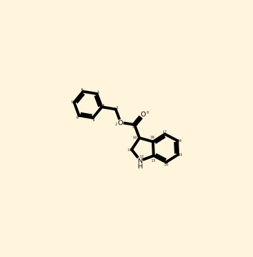 O=C(OCc1ccccc1)C1CNc2ccccc21